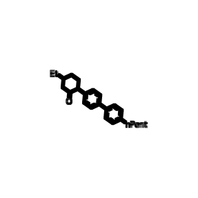 CCCCCc1ccc(-c2ccc(C3CCC(CC)CC3=O)cc2)cc1